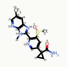 CC[S+]([O-])c1cc(C2(C(N)=O)CC2)cnc1-c1nc2cc(C(F)(F)F)cnc2n1C